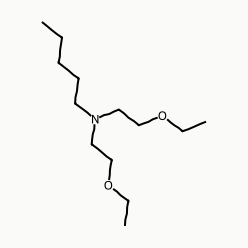 CCCCCN(CCOCC)CCOCC